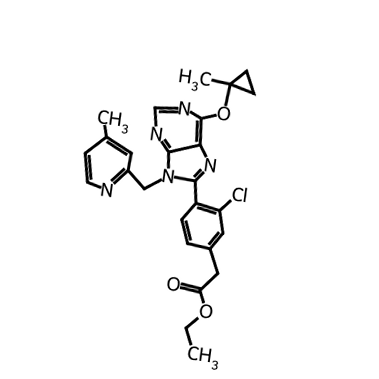 CCOC(=O)Cc1ccc(-c2nc3c(OC4(C)CC4)ncnc3n2Cc2cc(C)ccn2)c(Cl)c1